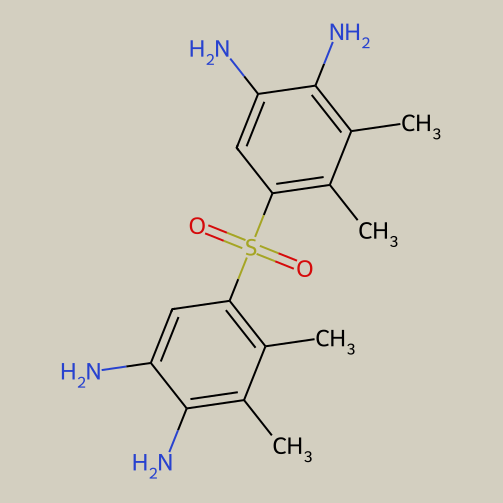 Cc1c(S(=O)(=O)c2cc(N)c(N)c(C)c2C)cc(N)c(N)c1C